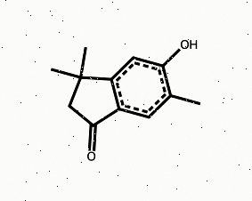 Cc1cc2c(cc1O)C(C)(C)CC2=O